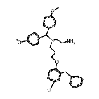 COc1ccc(C(c2ccc(OC)cc2)N(CCN)CCCOc2ccc(Cl)cc2Cc2ccccc2)cc1